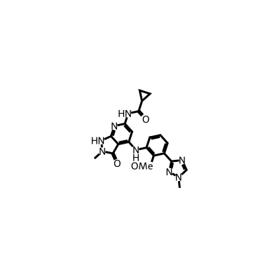 COc1c(Nc2cc(NC(=O)C3CC3)nc3[nH]n(C)c(=O)c23)cccc1-c1ncn(C)n1